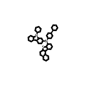 c1ccc(-c2ccc(N(c3ccc4c5ccccc5n(-c5ccccc5)c4c3)c3cccc4c3sc3ccc5ccccc5c34)cc2)cc1